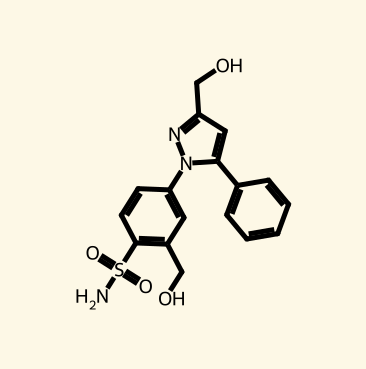 NS(=O)(=O)c1ccc(-n2nc(CO)cc2-c2ccccc2)cc1CO